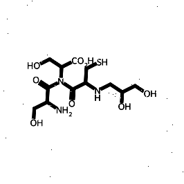 NC(CO)C(=O)N(C(=O)C(CS)NCC(O)CO)C(CO)C(=O)O